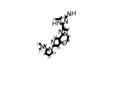 CC(C)N/C(=N\C=N)c1cn2c(n1)-c1cnc(N3CCC[C@H]3CN(C)C)cc1OCC2